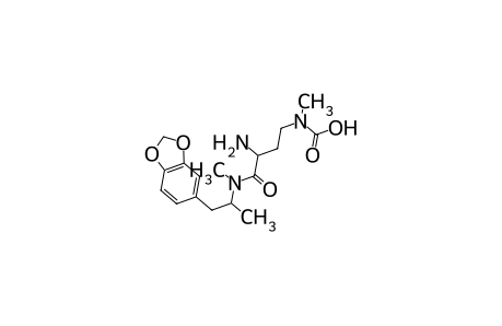 CC(Cc1ccc2c(c1)OCO2)N(C)C(=O)C(N)CCN(C)C(=O)O